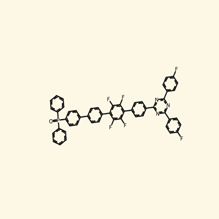 O=P(c1ccccc1)(c1ccccc1)c1ccc(-c2ccc(-c3c(F)c(F)c(-c4ccc(-c5nc(-c6ccc(F)cc6)nc(-c6ccc(F)cc6)n5)cc4)c(F)c3F)cc2)cc1